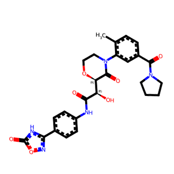 Cc1ccc(C(=O)N2CCCC2)cc1N1CCO[C@H]([C@@H](O)C(=O)Nc2ccc(-c3noc(=O)[nH]3)cc2)C1=O